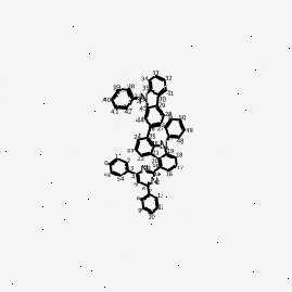 c1ccc(-c2cc(-c3ccccc3)nc(-c3cccc4c3c3cccc(-c5ccc6c7ccccc7n(-c7ccccc7)c6c5)c3n4-c3ccccc3)n2)cc1